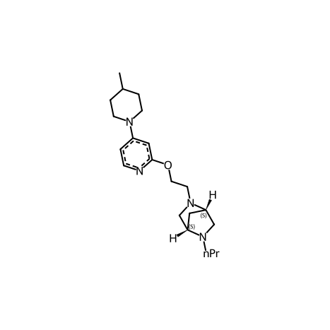 CCCN1C[C@@H]2C[C@H]1CN2CCOc1cc(N2CCC(C)CC2)ccn1